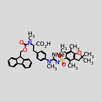 CN/C(=N\S(=O)(=O)c1c(C)c(C)c2c(c1C)CC(C)(C)O2)N(C)c1ccc(C[C@@H](C(=O)O)N(C)C(=O)OCC2c3ccccc3-c3ccccc32)cc1